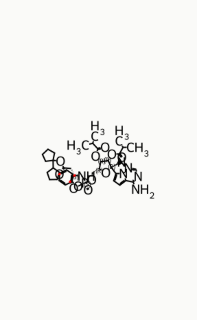 CC(C)C(=O)O[C@H]1[C@@H](OC(=O)C(C)C)[C@](C#N)(c2ccc3c(N)ncnn23)O[C@@H]1CO[P@@](=O)(N[C@H](C=O)CC(=O)OC1(C2CCCC2)CCCC1)Oc1ccccc1